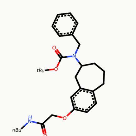 CCCCNC(=O)COc1ccc2c(c1)CC(N(Cc1ccccc1)C(=O)OC(C)(C)C)CCC2